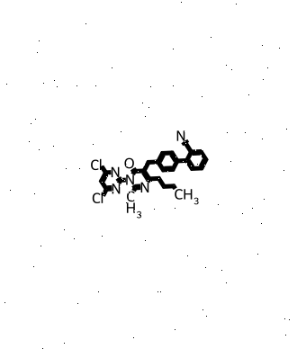 CCCCc1nc(C)n(-c2nc(Cl)cc(Cl)n2)c(=O)c1Cc1ccc(-c2ccccc2C#N)cc1